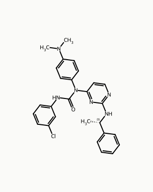 C[C@H](Nc1nccc(N(C(=O)Nc2cccc(Cl)c2)c2ccc(N(C)C)cc2)n1)c1ccccc1